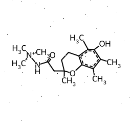 Cc1c(C)c2c(c(C)c1O)CCC(C)(CC(=O)N[N+](C)(C)C)O2